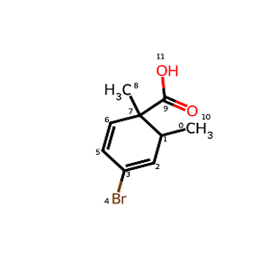 CC1C=C(Br)C=CC1(C)C(=O)O